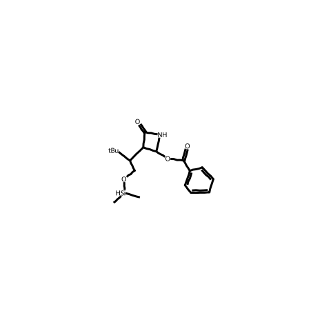 C[SiH](C)OCC(C1C(=O)NC1OC(=O)c1ccccc1)C(C)(C)C